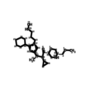 COC[C@H]1CO[C@@H](C(=O)N(C2CC2)[C@H](C)c2cn(CCCNO)c(C3CCCCC3)n2)CN1